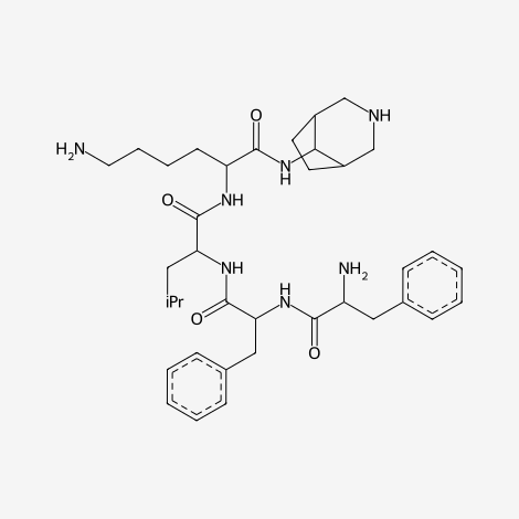 CC(C)CC(NC(=O)C(Cc1ccccc1)NC(=O)C(N)Cc1ccccc1)C(=O)NC(CCCCN)C(=O)NC1C2CCC1CNC2